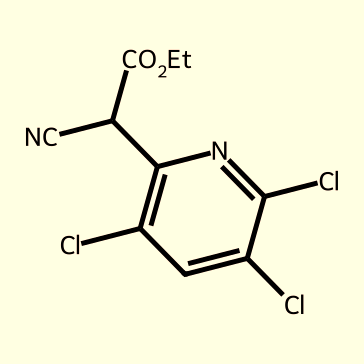 CCOC(=O)C(C#N)c1nc(Cl)c(Cl)cc1Cl